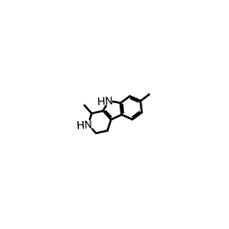 Cc1ccc2c3c([nH]c2c1)C(C)NCC3